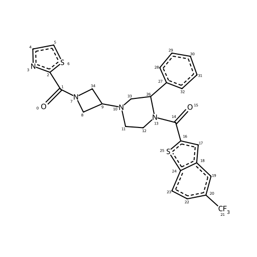 O=C(c1nccs1)N1CC(N2CCN(C(=O)c3cc4cc(C(F)(F)F)ccc4s3)C(c3ccccc3)C2)C1